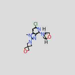 Cn1c(N2CC3(COC3)C2)nc2c(N3C[C@H]4C[C@@H]3CO4)nc(Cl)cc21